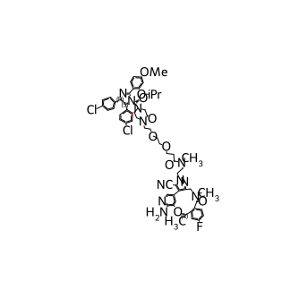 COc1ccc(C2=N[C@H](c3ccc(Cl)cc3)[C@H](c3ccc(Cl)cc3)N2C(=O)N2CCN(CCOCCOCCC(=O)N(C)CCn3nc4c(c3C#N)-c3cnc(N)c(c3)O[C@H](C)c3cc(F)ccc3C(=O)N(C)C4)C(=O)C2)c(OC(C)C)c1